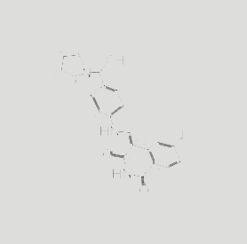 CC(c1ccc(NC=C2C(=O)NC(=O)c3ccc(I)cc32)cc1)N1CCCC1